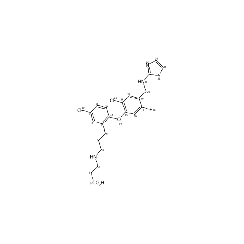 O=C(O)CCNCCCc1cc(Cl)ccc1Oc1cc(F)c(SNc2nccs2)cc1Cl